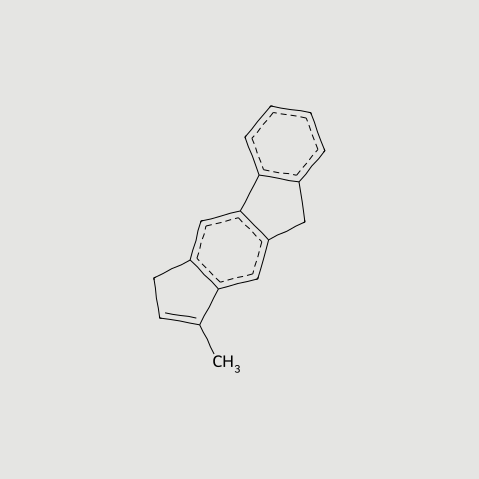 CC1=CCc2cc3c(cc21)Cc1ccccc1-3